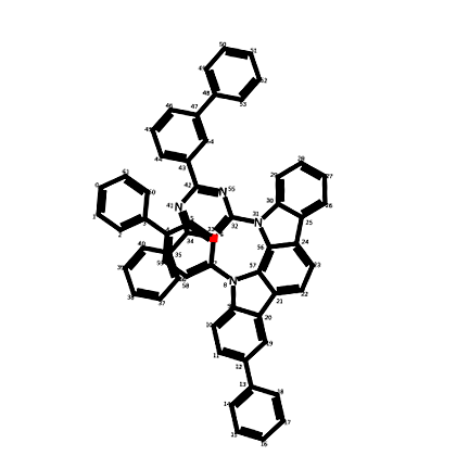 c1ccc(-c2ccc(-n3c4ccc(-c5ccccc5)cc4c4ccc5c6ccccc6n(-c6nc(-c7ccccc7)nc(-c7cccc(-c8ccccc8)c7)n6)c5c43)cc2)cc1